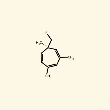 CC1=CC(C)=C[C@](C)(CF)C=C1